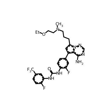 CCOCCN(C)CCCc1cc(-c2ccc(NC(=O)Nc3cc(C(F)(F)F)ccc3F)c(F)c2)c2c(N)ncnn12